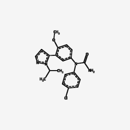 COc1ccc(N(C(N)=O)c2ccc(Cl)cc2)cc1-c1ccnn1C(C)C